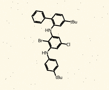 CC(C)(C)c1ccc(Nc2cc(Cl)cc(Nc3cc(C(C)(C)C)ccc3-c3ccccc3)c2Br)cc1